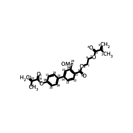 C=C(C)C(=O)OCCOC(=O)c1ccc(-c2ccc(OC(=O)C(=C)C)cc2)cc1OC